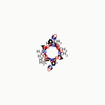 CC(C)CC1C(=O)O[C@H](C)C(=O)N(C)[C@@H](CC2CC2)C(=O)O[C@H](Cc2ccc(N3CCOCC3)cc2)C(=O)N(C)[C@@H](CC(C)C)C(=O)O[C@H](C)C(=O)N(C)[C@@H](CC2CC2)C(=O)O[C@H](Cc2ccc(N3CCOCC3)cc2)C(=O)N1C